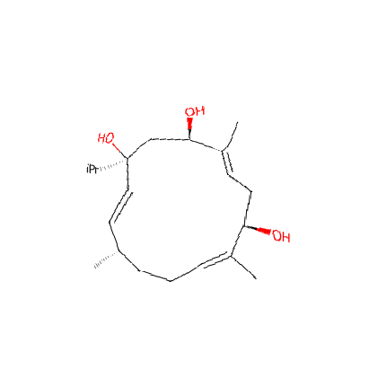 C/C1=C\CC[C@H](C)/C=C/[C@](O)(C(C)C)C[C@@H](O)/C(C)=C/C[C@H]1O